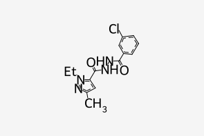 CCn1nc(C)cc1C(=O)NNC(=O)c1cccc(Cl)c1